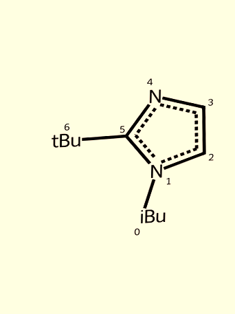 CCC(C)n1ccnc1C(C)(C)C